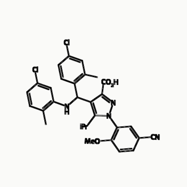 COc1ccc(C#N)cc1-n1nc(C(=O)O)c(C(Nc2cc(Cl)ccc2C)c2ccc(Cl)cc2C)c1C(C)C